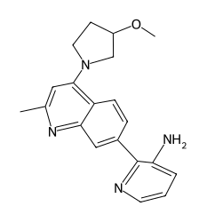 COC1CCN(c2cc(C)nc3cc(-c4ncccc4N)ccc23)C1